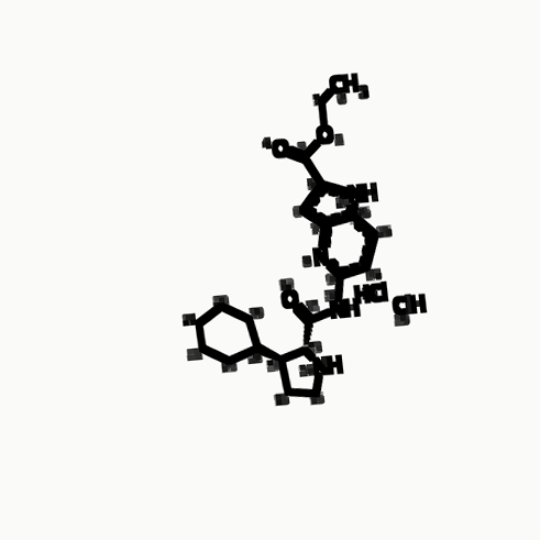 CCOC(=O)c1cc2nc(NC(=O)[C@@H]3NCC[C@H]3C3CCCCC3)ccc2[nH]1.Cl.Cl